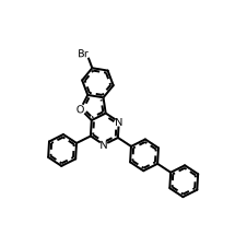 Brc1ccc2c(c1)oc1c(-c3ccccc3)nc(-c3ccc(-c4ccccc4)cc3)nc12